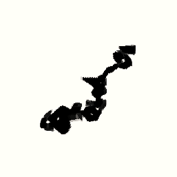 CCN1CCN(CCc2ccc3cc(C(=O)Nc4cc(NC(=O)c5ccc6c(c5)OCCO6)ccc4F)sc3n2)CC1